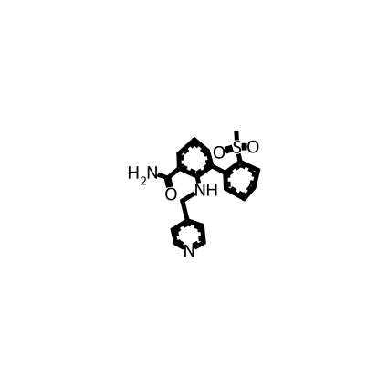 CS(=O)(=O)c1ccccc1-c1cccc(C(N)=O)c1NCc1ccncc1